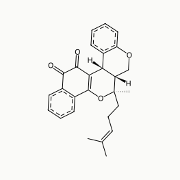 CC(C)=CCC[C@@]1(C)OC2=C(C(=O)C(=O)c3ccccc32)[C@@H]2c3ccccc3OC[C@@H]21